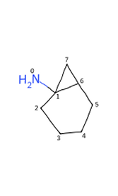 NC12CCCCC1C2